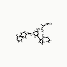 CNC(C)C(=O)Nc1cc(-c2cnc3n2C(C)CC=C3)cc(C#Cc2ccc3c(C)nccc3c2)n1